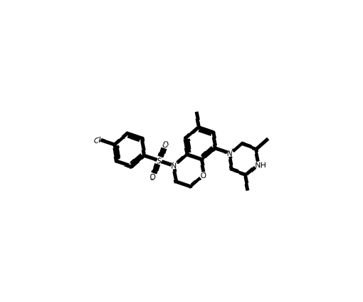 Cc1cc(N2CC(C)NC(C)C2)c2c(c1)N(S(=O)(=O)c1ccc(Cl)cc1)CCO2